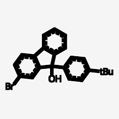 CC(C)(C)c1ccc(C2(O)c3ccccc3-c3ccc(Br)cc32)cc1